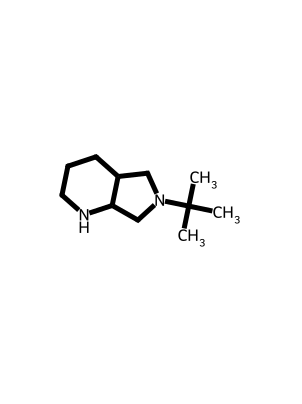 CC(C)(C)N1CC2CCCNC2C1